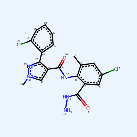 Cc1cc(Cl)cc(C(=O)NN)c1NC(=O)c1cn(C)nc1-c1ccccc1Cl